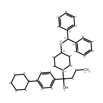 CCCC(O)(c1ccc(C2CCCCC2)cc1)N1CCC(OC(c2ccccc2)c2ccccc2)CC1